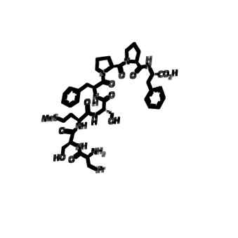 CSCC[C@H](NC(=O)[C@H](CO)NC(=O)[C@@H](N)CC(C)C)C(=O)N[C@@H](CO)C(=O)N[C@@H](Cc1ccccc1)C(=O)N1CCC[C@H]1C(=O)N1CCC[C@H]1C(=O)N[C@@H](Cc1ccccc1)C(=O)O